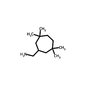 CC1(C)CCC(C)(C)CC(CN)C1